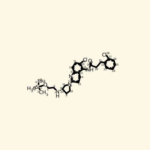 CC(C)(C)[Si](C)(C)OCCN[C@H]1CCN(c2ccc3c(NC(=O)CCc4ccccc4Cl)c(Cl)ccc3n2)C1